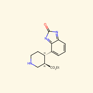 CCOC(=O)[C@H]1CNCC[C@@H]1c1cccc2c1=NC(=O)N=2